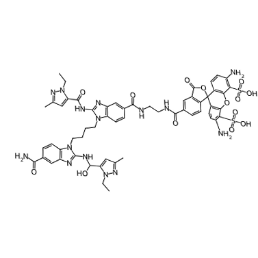 CCn1nc(C)cc1C(=O)Nc1nc2cc(C(=O)NCCNC(=O)c3ccc4c(c3)C(=O)OC43c4ccc(N)c(S(=O)(=O)O)c4Oc4c3ccc(N)c4S(=O)(=O)O)ccc2n1CCCCn1c(NC(O)c2cc(C)nn2CC)nc2cc(C(N)=O)ccc21